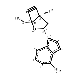 Nc1ncnc2c1ccn2[C@H]1C[C@@H]2C#C[C@]2(CO)O1